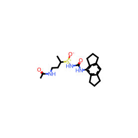 CC(=O)NCCC(C)[S+]([O-])NC(=O)Nc1c2c(cc3c1CCC3)CCC2